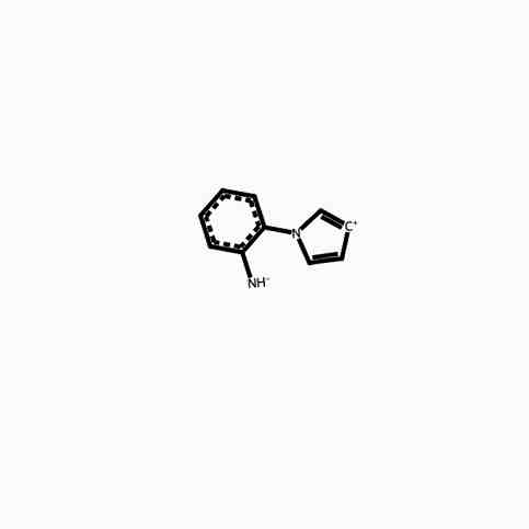 [NH-]c1ccccc1N1C=[C+]C=C1